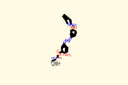 COCCNC(=O)COC(=O)c1cc(N=Nc2ccc(S(=O)(=O)Nc3ccccn3)cc2)ccc1O